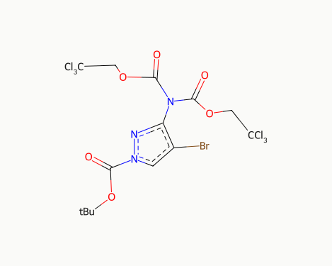 CC(C)(C)OC(=O)n1cc(Br)c(N(C(=O)OCC(Cl)(Cl)Cl)C(=O)OCC(Cl)(Cl)Cl)n1